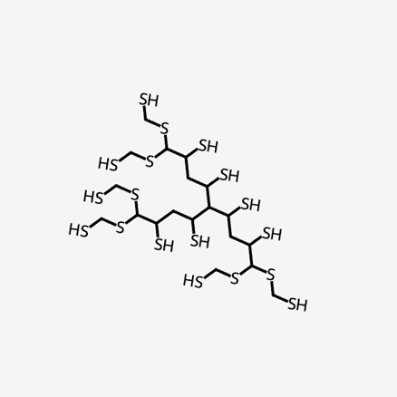 SCSC(SCS)C(S)CC(S)C(C(S)CC(S)C(SCS)SCS)C(S)CC(S)C(SCS)SCS